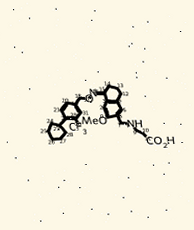 COc1cc2c(cc1CNCCC(=O)O)CCC/C2=N/OCc1ccc(C2CCCCC2)c(C(F)(F)F)c1